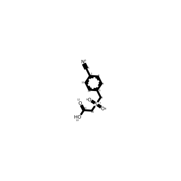 N#Cc1ccc(CS(=O)(=O)CC(=O)O)cc1